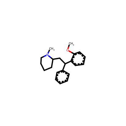 COc1ccccc1C(CC1CCCCN1C)c1ccccc1